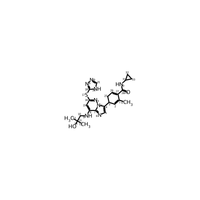 CC1=CC(c2cnc3c(NCC(C)(C)O)cc(Sc4nnc[nH]4)nn23)CC=C1C(=O)NC1CC1